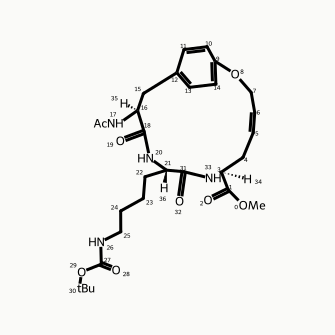 COC(=O)[C@@H]1C/C=C\COc2ccc(cc2)C[C@H](NC(C)=O)C(=O)N[C@@H](CCCCNC(=O)OC(C)(C)C)C(=O)N1